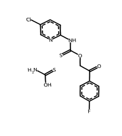 NC(O)=S.O=C(COC(=S)Nc1ccc(Cl)cn1)c1ccc(F)cc1